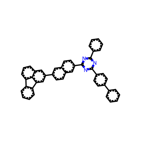 c1ccc(-c2ccc(-c3nc(-c4ccccc4)nc(-c4ccc5cc(-c6cc7c8c(cccc8c6)-c6ccccc6-7)ccc5c4)n3)cc2)cc1